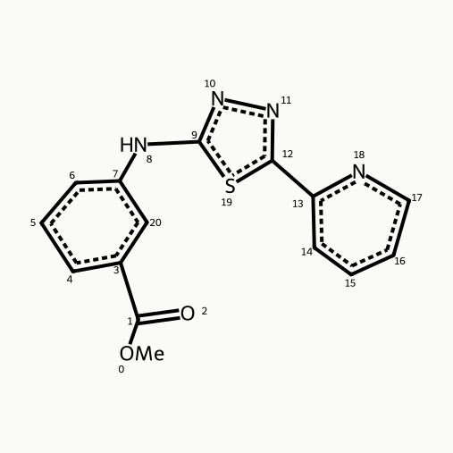 COC(=O)c1cccc(Nc2nnc(-c3ccccn3)s2)c1